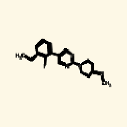 CCc1cccc(-c2cnc(N3CCC(=NC)CC3)nc2)c1F